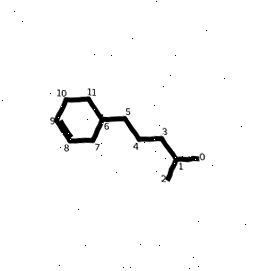 CC(C)CCC[C]1CC=CCC1